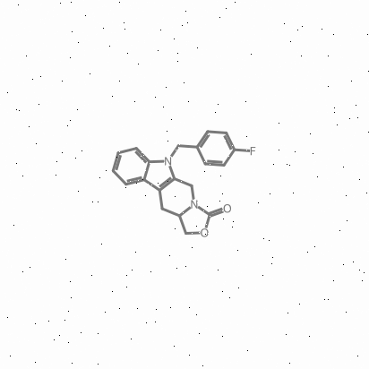 O=C1OCC2Cc3c(n(Cc4ccc(F)cc4)c4ccccc34)CN12